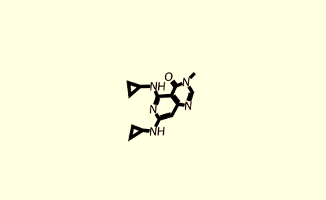 Cn1cnc2cc(NC3CC3)nc(NC3CC3)c2c1=O